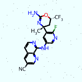 C[C@]1(c2cc(Nc3nccc4cc(C#N)cnc34)cnc2F)C[C@@H](C(F)(F)F)OC(N)=N1